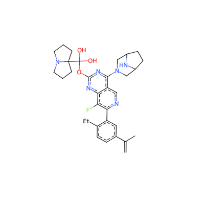 C=C(C)c1ccc(CC)c(-c2ncc3c(N4CC5CCC(C4)N5)nc(OC(O)(O)C45CCCN4CCC5)nc3c2F)c1